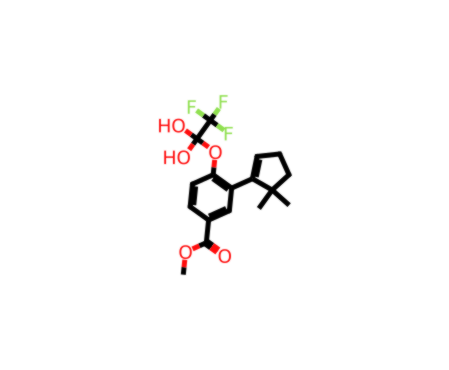 COC(=O)c1ccc(OC(O)(O)C(F)(F)F)c(C2=CCCC2(C)C)c1